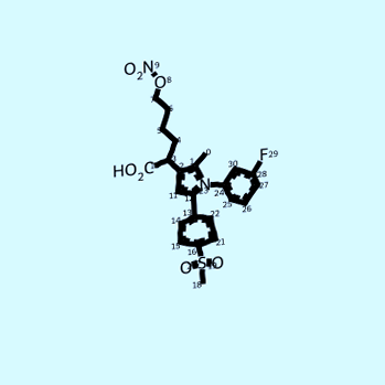 Cc1c(C(CCCCO[N+](=O)[O-])C(=O)O)cc(-c2ccc(S(C)(=O)=O)cc2)n1-c1cccc(F)c1